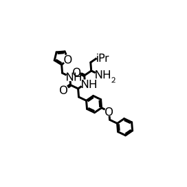 CC(C)CC(N)C(=O)NC(Cc1ccc(OCc2ccccc2)cc1)C(=O)NCc1ccco1